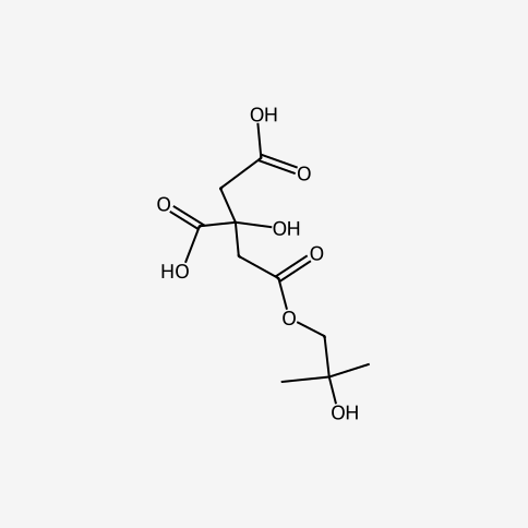 CC(C)(O)COC(=O)CC(O)(CC(=O)O)C(=O)O